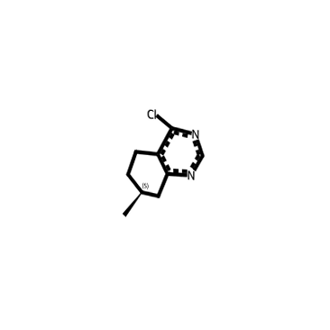 C[C@H]1CCc2c(Cl)ncnc2C1